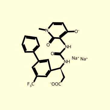 Cn1ccc([O-])c(NC(=O)N[C@@H](CC(=O)[O-])c2cc(-c3ccccc3)cc(C(F)(F)F)c2)c1=O.[Na+].[Na+]